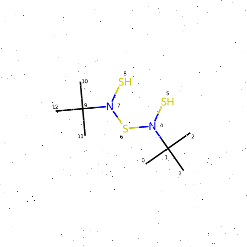 CC(C)(C)N(S)SN(S)C(C)(C)C